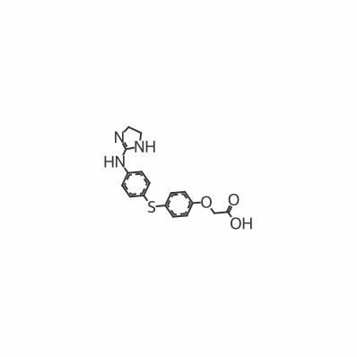 O=C(O)COc1ccc(Sc2ccc(NC3=NCCN3)cc2)cc1